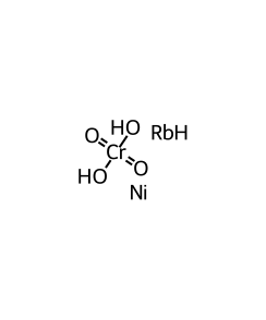 [Ni].[O]=[Cr](=[O])([OH])[OH].[RbH]